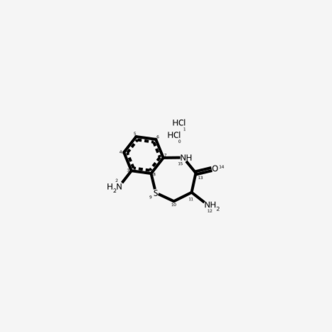 Cl.Cl.Nc1cccc2c1SCC(N)C(=O)N2